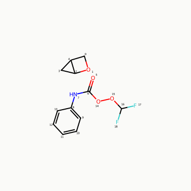 C1OC2CC12.O=C(Nc1ccccc1)OOC(F)F